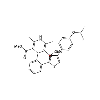 COC(=O)C1=C(C)NC(C)=C(C(=O)OC)C1c1ccccc1-c1nc(-c2ccc(OC(F)F)cc2)cs1